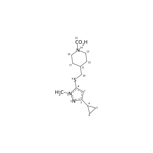 Cn1nc(C2CC2)cc1SCC1CCN(C(=O)O)CC1